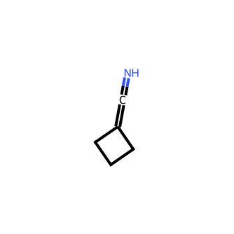 N=C=C1CCC1